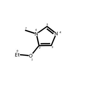 CCOc1cncn1C